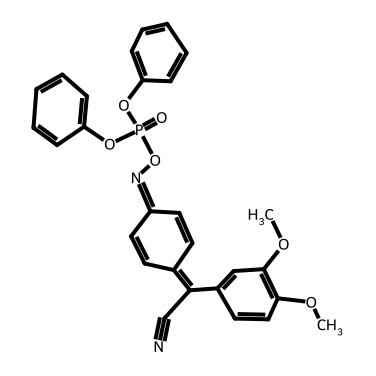 COc1ccc(C(C#N)=C2C=CC(=NOP(=O)(Oc3ccccc3)Oc3ccccc3)C=C2)cc1OC